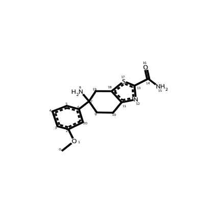 COc1cccc(C2(N)CCc3nc(C(N)=O)sc3C2)c1